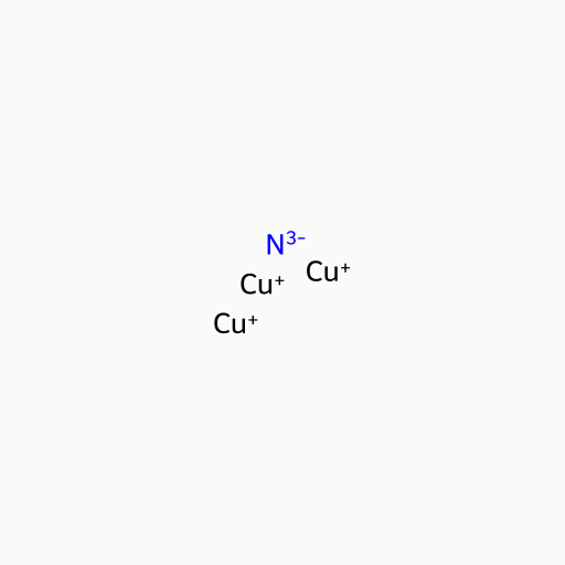 [Cu+].[Cu+].[Cu+].[N-3]